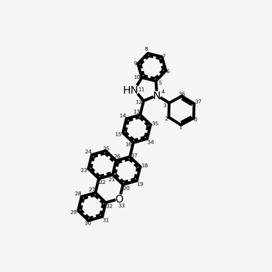 C1=CCC(N2c3ccccc3NC2c2ccc(-c3ccc4c5c(cccc35)-c3ccccc3O4)cc2)C=C1